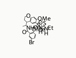 CCNC(=S)NS(=O)(=O)c1cc2c(cc1OC)OCCC2C(C)NC(=O)c1cc(Br)ccc1OC